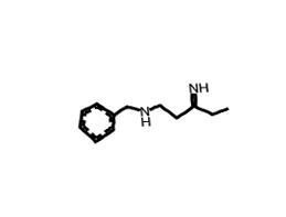 CCC(=N)CCNCc1ccccc1